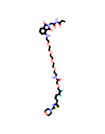 CCC(=O)NC(=O)CN1C(=O)c2cccc(NCCOCCOCCOCCOCCNC(=O)COC/C(F)=C(F)\C=C/Cc3csc(N4CCOCC4)n3)c2C1=O